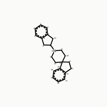 c1ccc2c(c1)CC(N1CCC3(CCc4ccccc43)CC1)C2